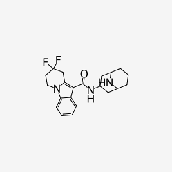 O=C(NC1CC2CCCC(C1)N2)c1c2n(c3ccccc13)CCC(F)(F)C2